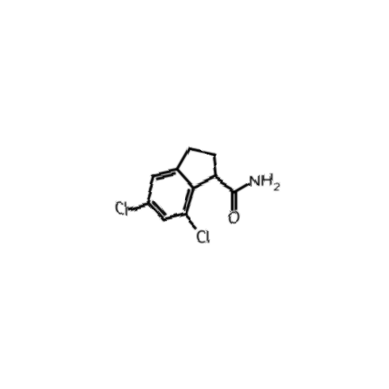 NC(=O)C1CCc2cc(Cl)cc(Cl)c21